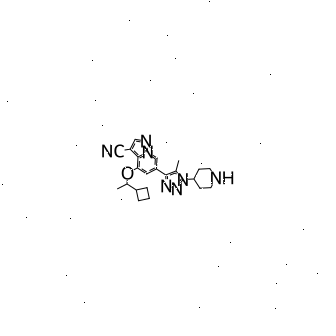 Cc1c(-c2cc(OC(C)C3CCC3)c3c(C#N)cnn3c2)nnn1C1CCNCC1